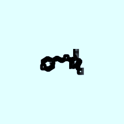 Clc1c[nH]c(OCCN2CCOCC2)n1